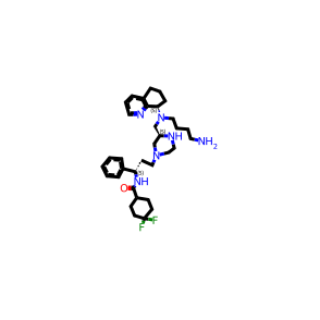 NCCCCN(C[C@@H]1CN(CC[C@H](NC(=O)C2CCC(F)(F)CC2)c2ccccc2)CCN1)[C@H]1CCCc2cccnc21